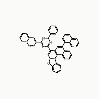 c1ccc(-c2nc(-c3ccc4ccccc4c3)nc(-c3cc4oc5ccccc5c4c4c3cc(-c3cccc5ccccc35)c3ccccc34)n2)cc1